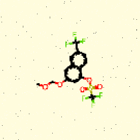 COCOc1cc(OS(=O)(=O)C(F)(F)F)c2ccc(C(F)(F)F)cc2c1